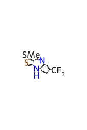 CSC1=Nc2cc(C(F)(F)F)ccc2Nc2cscc21